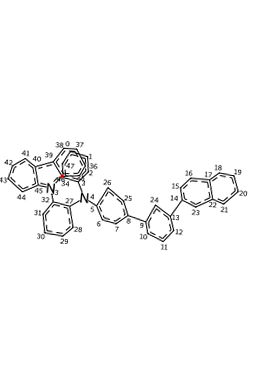 c1ccc(N(c2ccc(-c3cccc(-c4ccc5ccccc5c4)c3)cc2)c2ccccc2-n2c3ccccc3c3ccccc32)cc1